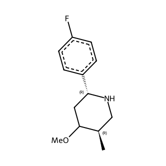 COC1C[C@H](c2ccc(F)cc2)NC[C@H]1C